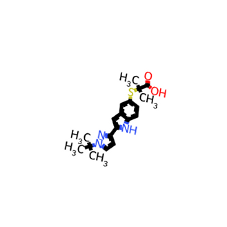 CC(C)(Sc1ccc2[nH]c(-c3ccn(C(C)(C)C)n3)cc2c1)C(=O)O